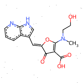 CN(CCO)C1=C(C(=O)O)C(=O)/C(=C/c2c[nH]c3ncccc23)O1